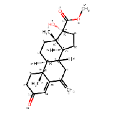 C=C1C[C@@H]2[C@H](CC[C@@]3(C)[C@H]2CC[C@]3(O)C(=O)OC)[C@@]2(C)CCC(=O)C=C12